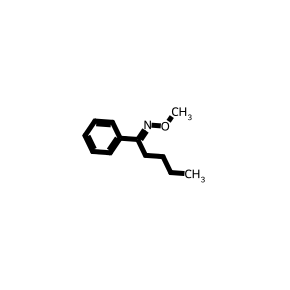 CCCCC(=NOC)c1ccccc1